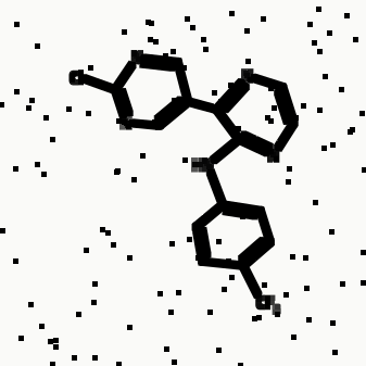 FC(F)(F)c1ccc(Nc2nccnc2-c2cnc(Cl)nc2)cc1